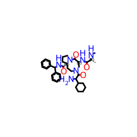 CN[C@H](C)C(=O)N[C@@H]1CN(C(=O)C(N)C2CCCCC2)CC[C@@]2(C(=O)NC(c3ccccc3)c3ccccc3)CCCN2C1=O